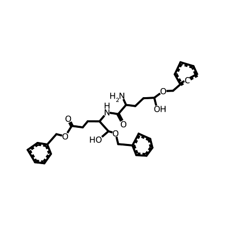 NC(CCC(O)OCc1ccccc1)C(=O)NC(CCC(=O)OCc1ccccc1)C(O)OCc1ccccc1